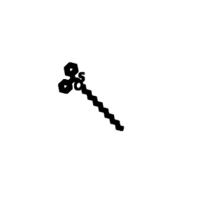 CCCCCCCCCCCCCCCOC(=S)C(c1ccccc1)c1ccccc1